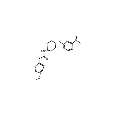 COc1ccc(CC(=O)N[C@H]2CC[C@@H](Nc3nccc(N(C)C)n3)CC2)cc1